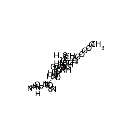 COCCOCCOCCOCCOCCOCCOCCOCCC(=O)NCCCC[C@H](NC(=O)CN1C(=O)CC(SC[C@H](NC(=O)OCC[Si](C)(C)C)C(=O)O)C1=O)C(=O)NCCCCCCN1N=C(c2ccc(NC(=O)N3Cc4ccncc4C3)cc2)CC(c2cccc3ncccc23)C1=O